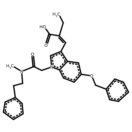 CCC(=Cc1cn(CC(=O)N(C)CCc2ccccc2)c2ccc(OCc3ccccc3)cc12)C(=O)O